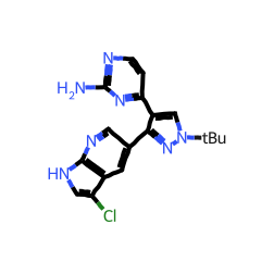 CC(C)(C)n1cc(-c2ccnc(N)n2)c(-c2cnc3[nH]cc(Cl)c3c2)n1